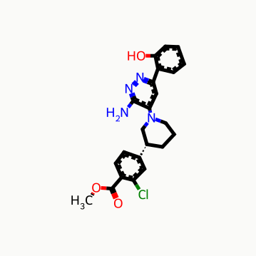 COC(=O)c1ccc([C@H]2CCCN(c3cc(-c4ccccc4O)nnc3N)C2)cc1Cl